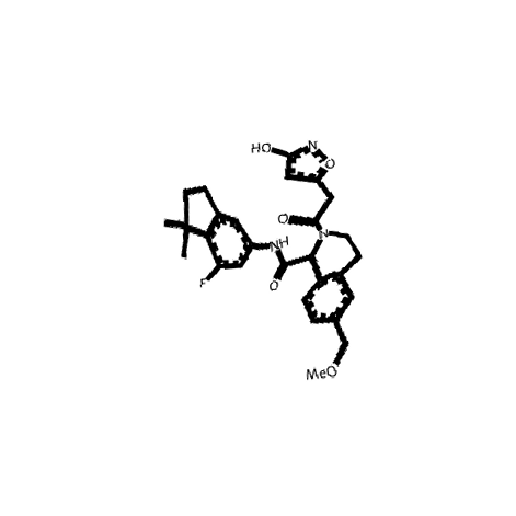 COCc1ccc2c(c1)CCN(C(=O)Cc1cc(O)no1)C2C(=O)Nc1cc(F)c2c(c1)CCC2(C)C